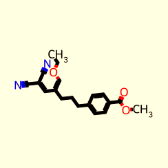 CCOC=C(C=C(C#N)C#N)CCCc1ccc(C(=O)OC)cc1